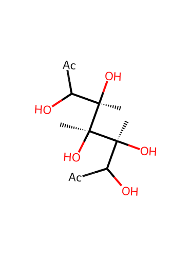 CC(=O)C(O)[C@](C)(O)[C@@](C)(O)[C@](C)(O)C(O)C(C)=O